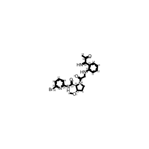 CO[C@@H]1CCN(C(=O)CNc2ccccc2C(=N)C(C)=O)[C@@H]1C(=O)Nc1cccc(Br)n1